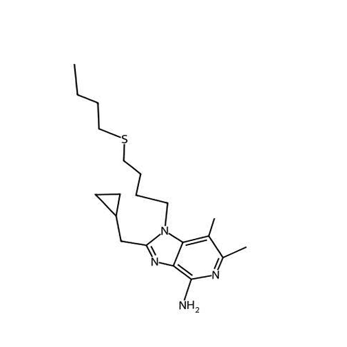 CCCCSCCCCn1c(CC2CC2)nc2c(N)nc(C)c(C)c21